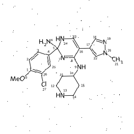 COc1ccc(C2(N)N=C(NC3CCNCC3)C(c3cnn(C)c3)=CN2)cc1Cl